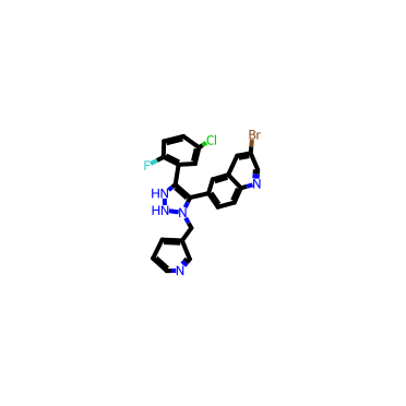 Fc1ccc(Cl)cc1C1=C(c2ccc3ncc(Br)cc3c2)N(Cc2cccnc2)NN1